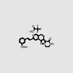 COc1cccc(C=Cc2cc3c(cn2)CCc2c-3nn3c2C(=O)NCC3)c1.O=C(O)C(F)(F)F